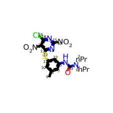 CCCN(CCC)C(=O)Nc1cc(C)cc(Sc2nc([N+](=O)[O-])nc(Cl)c2[N+](=O)[O-])c1